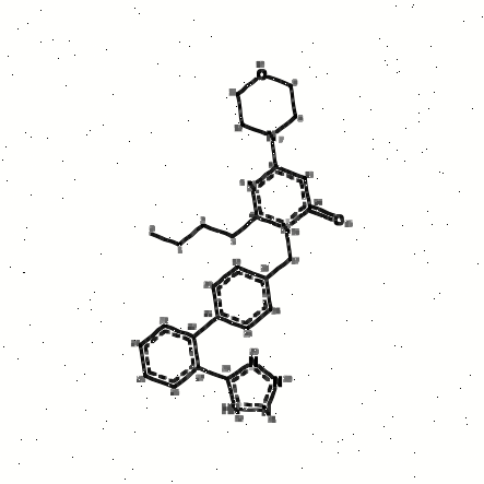 CCCCc1nc(N2CCOCC2)cc(=O)n1Cc1ccc(-c2ccccc2-c2nnn[nH]2)cc1